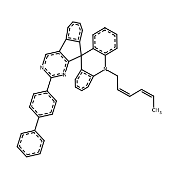 C/C=C\C=C/CN1c2ccccc2C2(c3ccccc3-c3cnc(-c4ccc(-c5ccccc5)cc4)nc32)c2ccccc21